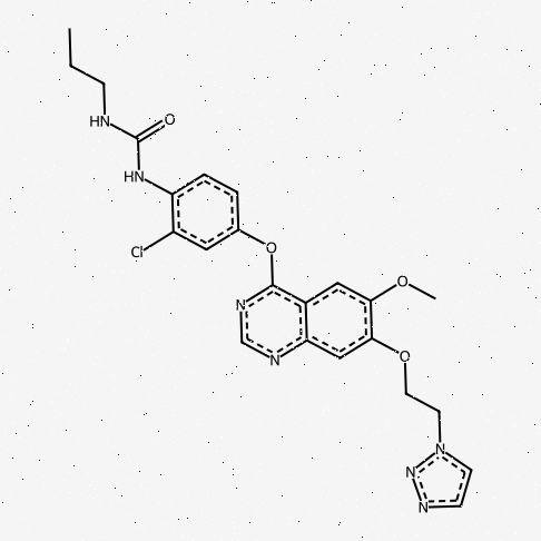 CCCNC(=O)Nc1ccc(Oc2ncnc3cc(OCCn4ccnn4)c(OC)cc23)cc1Cl